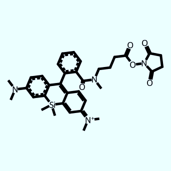 CN(CCCC(=O)ON1C(=O)CCC1=O)C(=O)c1ccccc1C1=C2C=CC(=[N+](C)C)C=C2[Si](C)(C)c2cc(N(C)C)ccc21